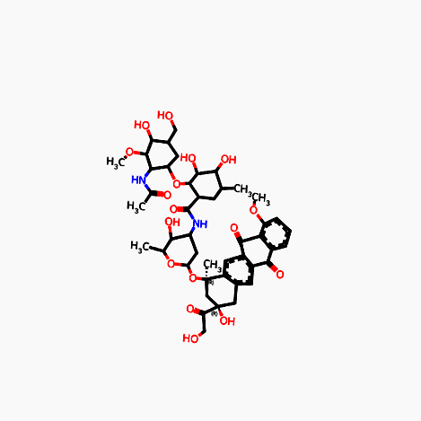 COc1cccc2c1C(=O)c1cc3c(cc1C2=O)C[C@](O)(C(=O)CO)C[C@@]3(C)OC1CC(NC(=O)C2CC(C)C(O)C(O)C2OC2CC(CO)C(O)C(OC)C2NC(C)=O)C(O)C(C)O1